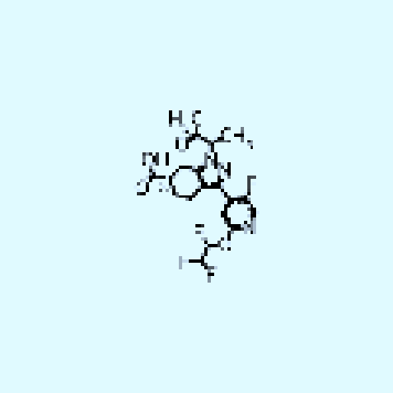 CC(=O)C(C)n1nc(-c2cc(OC(F)C(F)F)ncc2F)c2c1C[C@H](C(=O)O)CC2